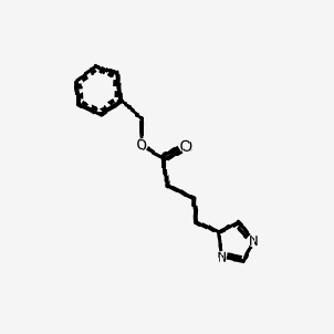 O=C(CCCC1C=NC=N1)OCc1ccccc1